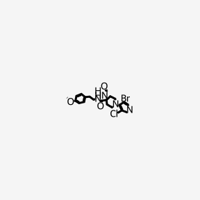 COc1ccc(CCNC(=O)C2(NC=O)CCN(c3c(Cl)cncc3Br)CC2)cc1